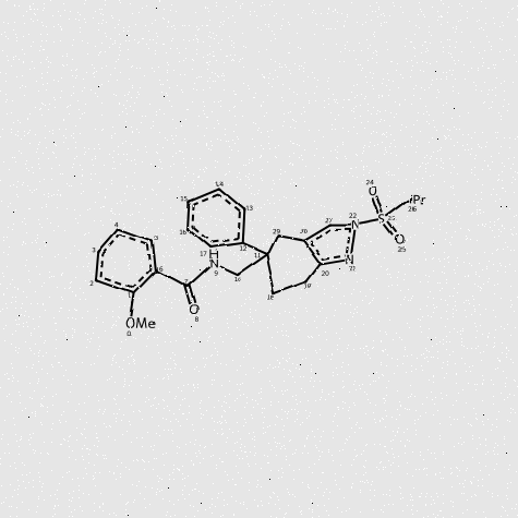 COc1ccccc1C(=O)NCC1(c2ccccc2)CCc2nn(S(=O)(=O)C(C)C)cc2C1